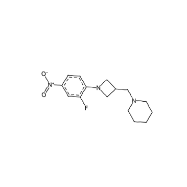 O=[N+]([O-])c1ccc(N2CC(CN3CCCCC3)C2)c(F)c1